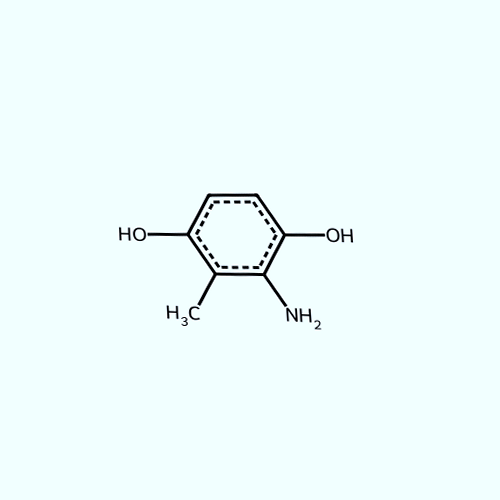 Cc1c(O)ccc(O)c1N